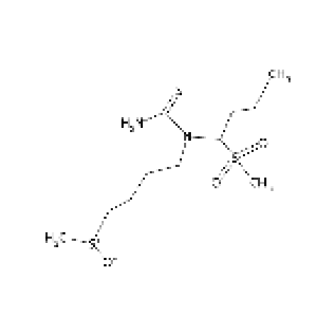 CCCC(N(CCCC[S+](C)[O-])C(N)=S)S(C)(=O)=O